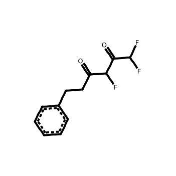 O=C(CCc1ccccc1)C(F)C(=O)C(F)F